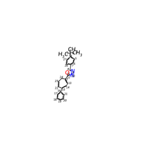 CC(C)(C)c1ccc(-c2nnc(C3=CC=C(c4ccccc4)C=CC3)o2)cc1